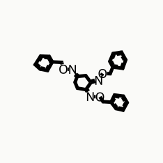 c1ccc(CO/N=C2/CC/C(=N\OCc3ccccc3)C/C2=N\OCc2ccccc2)cc1